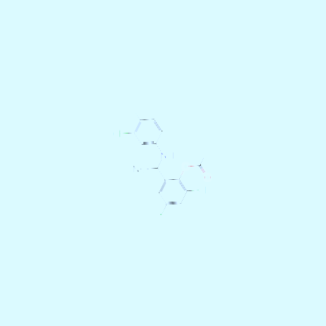 CCC(=O)Oc1c(Cl)cc(Cl)cc1C(C#N)Nc1ccc(F)c(Cl)c1